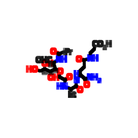 CCC(NC(=O)CO[C@@H]([C@H](O)[C@H](O)CO)[C@H](C=O)NC(=O)C(C)C)C(=O)NC(CCC(=O)NCCC(=O)O)C(N)=O